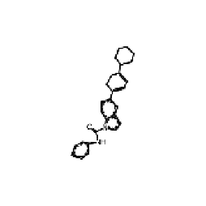 O=C(Nc1ccccc1)n1ccc2cc(C3=CC=C(C4CCCCC4)CC3)ccc21